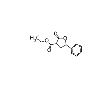 CCOC(=O)C1CC(c2ccccc2)OC1=O